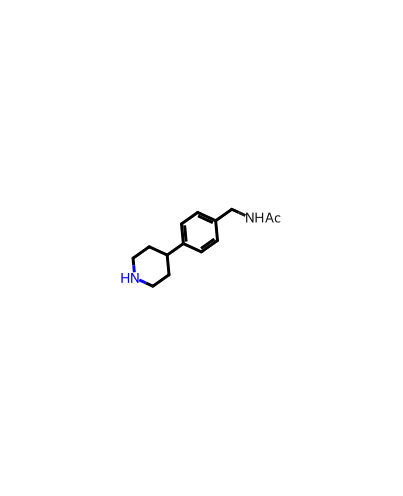 CC(=O)NCc1ccc(C2CCNCC2)cc1